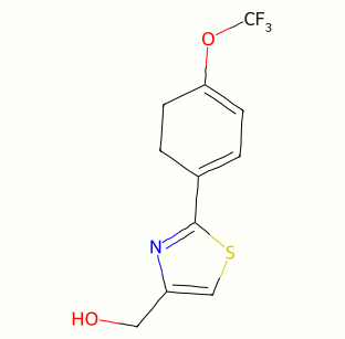 OCc1csc(C2=CC=C(OC(F)(F)F)CC2)n1